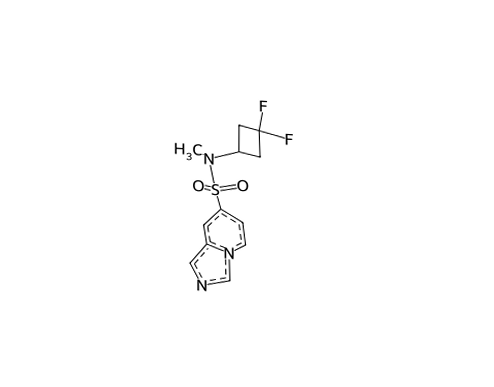 CN(C1CC(F)(F)C1)S(=O)(=O)c1ccn2cncc2c1